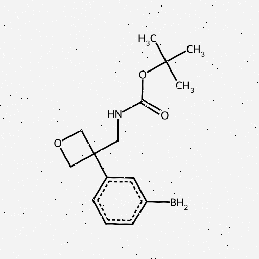 Bc1cccc(C2(CNC(=O)OC(C)(C)C)COC2)c1